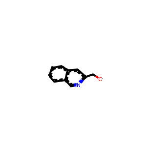 [O]Cc1cc2ccccc2cn1